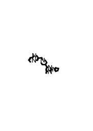 C/C=C\c1ncc(CN2CCC(c3cc(C)nc(N4CCCC4)n3)CC2)cn1